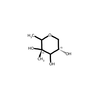 CC1OC[C@H](O)C(O)[C@]1(C)O